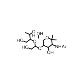 CC(=O)NC1C(O)C(OC(CO)OC(CO)C(C)O)[C@H](CO)OC1(C)C